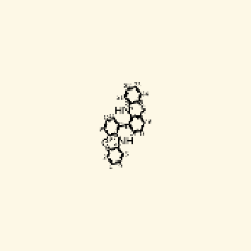 c1ccc2c(c1)Nc1c(cccc1-c1cccc3c1Nc1ccccc1S3)O2